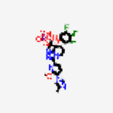 COc1nc(-c2nnc3n2CCC[C@]3(Oc2cc(F)c(F)c(F)c2)C(C)(C)OP(=O)(O)O)ccc1-n1cnc(C)c1